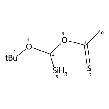 CC(=S)OC([SiH3])OC(C)(C)C